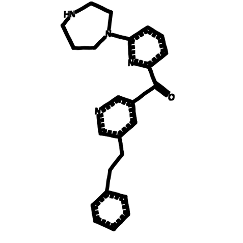 O=C(c1cncc(CCc2ccccc2)c1)c1cccc(N2CCCNCC2)n1